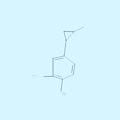 COc1cc(C2CC2Cl)ccc1C#N